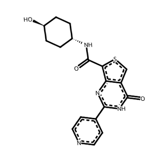 O=C(N[C@H]1CC[C@H](O)CC1)c1scc2c(=O)[nH]c(-c3ccncc3)nc12